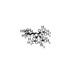 CC(C)(C)OC(=O)[C@H](CCCCC(C)(C)[Si](C)(C)O)N(C(=O)OC(C)(C)C)C(=O)OC(C)(C)C